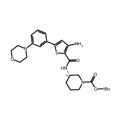 CC(C)(C)OC(=O)N1CCC[C@H](NC(=O)c2sc(-c3cccc(N4CCOCC4)c3)cc2N)C1